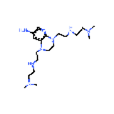 CN(C)CCNCCN1CCN(CCNCCN(C)C)c2ncc(N)cc21